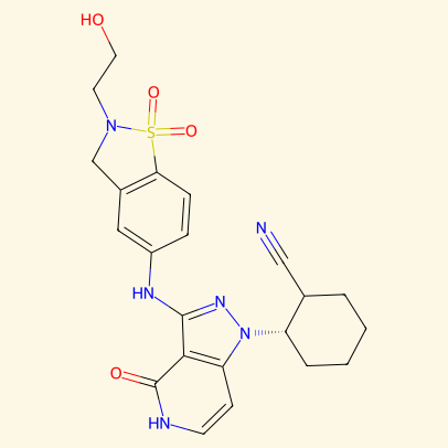 N#CC1CCCC[C@@H]1n1nc(Nc2ccc3c(c2)CN(CCO)S3(=O)=O)c2c(=O)[nH]ccc21